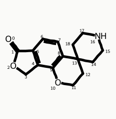 O=C1OCc2c1ccc1c2OCCC12CCNCC2